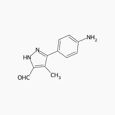 Cc1c(-c2ccc(N)cc2)n[nH]c1C=O